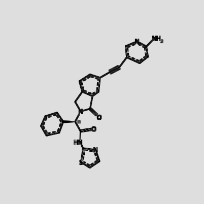 Nc1ccc(C#Cc2ccc3c(c2)C(=O)N([C@@H](C(=O)Nc2nccs2)c2ccccc2)C3)cn1